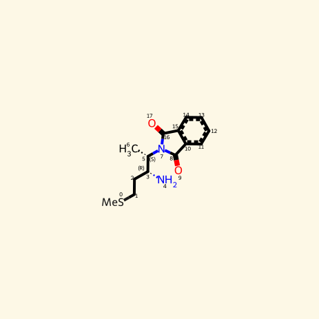 CSCC[C@@H](N)[C@H](C)N1C(=O)c2ccccc2C1=O